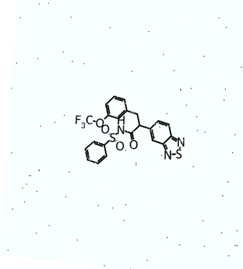 O=C(NS(=O)(=O)c1ccccc1)C(Cc1cccc(OC(F)(F)F)c1)c1ccc2nsnc2c1